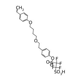 C=Cc1ccc(OCCCCOCCc2ccc(OS(=O)(=O)C(F)(F)C(F)(F)S(=O)(=O)O)cc2)cc1